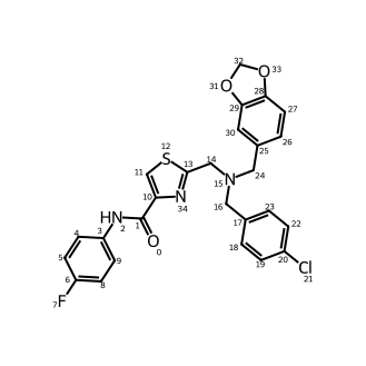 O=C(Nc1ccc(F)cc1)c1csc(CN(Cc2ccc(Cl)cc2)Cc2ccc3c(c2)OCO3)n1